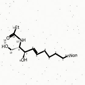 CCCCCCCCCCCCC/C=C/[C@@H](O)[C@H](CO)NC(=O)CC